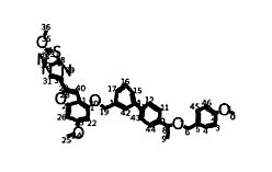 COc1ccc(COC(C)c2ccc(-c3cccc(COc4cc(OC)cc5oc(-c6cn7nc(OC)sc7n6)cc45)c3)cc2)cc1